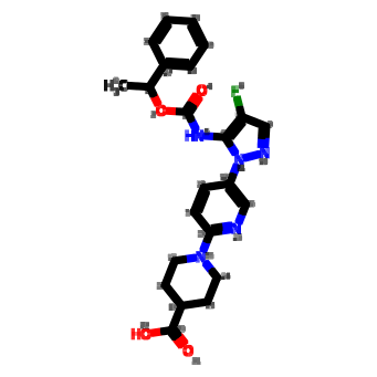 CC(OC(=O)Nc1c(F)cnn1-c1ccc(N2CCC(C(=O)O)CC2)nc1)c1ccccc1